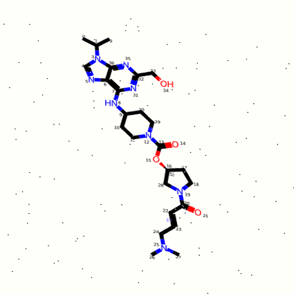 CC(C)n1cnc2c(NC3CCN(C(=O)O[C@H]4CCN(C(=O)/C=C/CN(C)C)C4)CC3)nc(CO)nc21